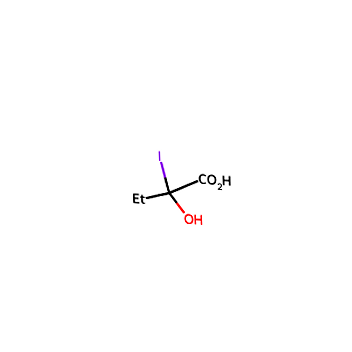 CCC(O)(I)C(=O)O